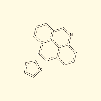 c1cc2cnc3cccc4cnc(c1)c2c43.c1ccsc1